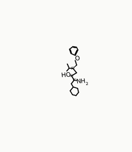 CC(C)[C@@H](CCOc1ccccc1)C[C@H](O)[C@@H](N)CC1CCCCC1